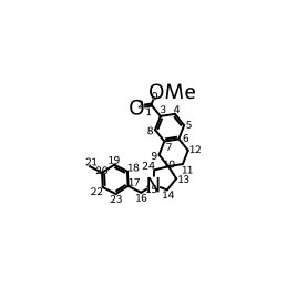 COC(=O)c1ccc2c(c1)CC1(CC2)CCN(Cc2ccc(C)cc2)C1